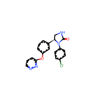 O=C1NC[C@H](c2cccc(Oc3cccnn3)c2)N1c1ccc(Cl)cc1